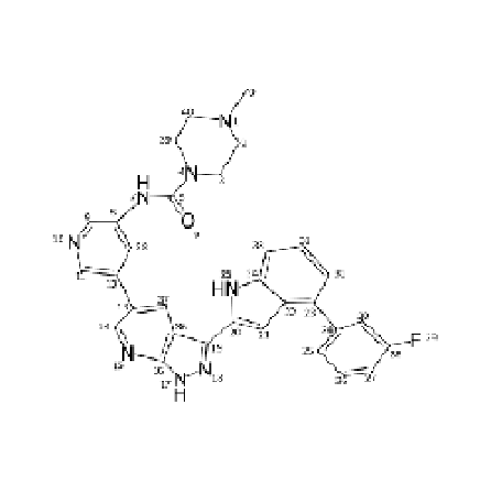 CN1CCN(C(=O)Nc2cncc(-c3cnc4[nH]nc(-c5cc6c(-c7cccc(F)c7)cccc6[nH]5)c4c3)c2)CC1